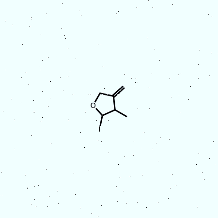 C=C1COC(I)C1C